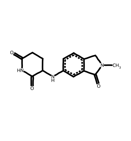 CN1Cc2ccc(NC3CCC(=O)NC3=O)cc2C1=O